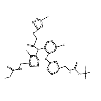 CCC(=O)NCc1cccc(N(C(=O)CSc2nnc(C)s2)c2ccc(Cl)cc2Oc2cccc(CNC(=O)OC(C)(C)C)c2)c1F